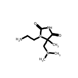 CN(C)CC1(C)C(=O)NC(=O)N1CCN